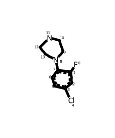 Fc1cc(Cl)ccc1N1CC[N]CC1